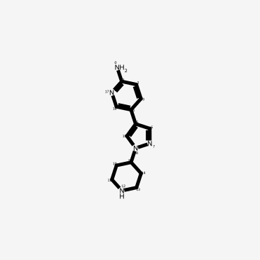 Nc1ccc(-c2cnn(C3CCNCC3)c2)cn1